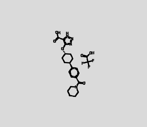 O=C(O)C(F)(F)F.O=C(O)c1[nH]nnc1O[C@H]1CC[C@H](c2ccc(C(=O)N3CCCCC3)cc2)CC1